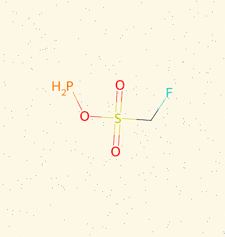 O=S(=O)(CF)OP